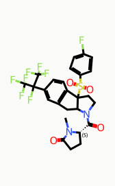 CN1C(=O)CC[C@H]1C(=O)N1CCC2(S(=O)(=O)c3ccc(F)cc3)c3ccc(C(F)(C(F)(F)F)C(F)(F)F)cc3CC12